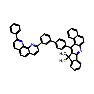 CC1(C)c2ccccc2-c2nc3ccc4ccccc4c3c(-c3ccc(-c4cccc(-c5ccc6ccc7ccc(-c8ccccc8)nc7c6n5)c4)cc3)c21